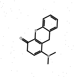 CN(C)C1=CCC(=O)C2=C1Cc1ccccc1S2